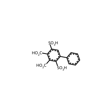 O=C(O)c1c(S(=O)(=O)O)cc(-c2ccccc2)c(S(=O)(=O)O)c1C(=O)O